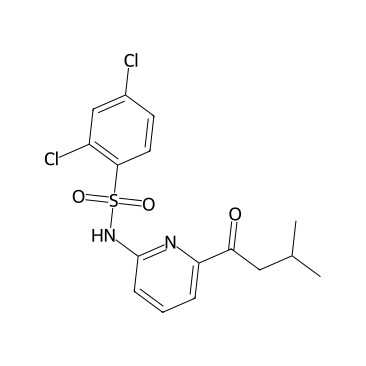 CC(C)CC(=O)c1cccc(NS(=O)(=O)c2ccc(Cl)cc2Cl)n1